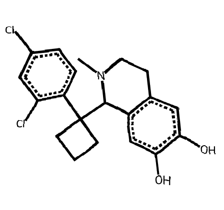 CN1CCc2cc(O)c(O)cc2C1C1(c2ccc(Cl)cc2Cl)CCC1